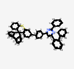 c1ccc(-c2nc(-c3ccc(-c4ccc5c(c4)Sc4ccccc4C54c5ccccc5-c5ccccc54)cc3)cc(-c3ccccc3-c3ccccc3)n2)cc1